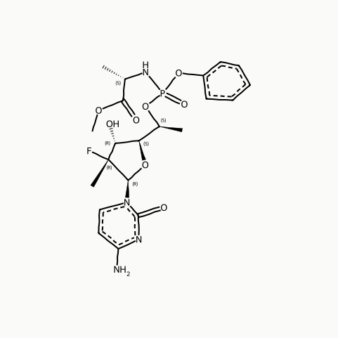 COC(=O)[C@H](C)NP(=O)(Oc1ccccc1)O[C@@H](C)[C@H]1O[C@@H](n2ccc(N)nc2=O)[C@](C)(F)[C@@H]1O